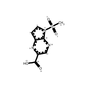 CS(=O)(=O)n1ccc2nc(C(=O)O)cnc21